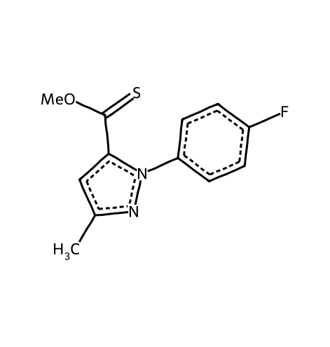 COC(=S)c1cc(C)nn1-c1ccc(F)cc1